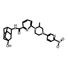 CC1CN(c2ccc([N+](=O)[O-])nc2)CCN1c1cccc(C(=O)NC2C3CC4CC2CC(O)(C4)C3)n1